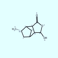 C[C@H]1CC2CC1C1C(=O)OC(O)C21